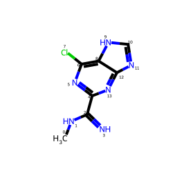 CNC(=N)c1nc(Cl)c2[nH]cnc2n1